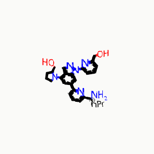 CCC[C@H](N)c1cccc(-c2cc(N3CCCC3CO)c3cnn(-c4cccc(CO)n4)c3c2)n1